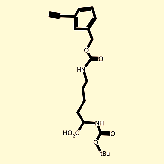 C#Cc1cccc(COC(=O)NCCCCC(NC(=O)OC(C)(C)C)C(=O)O)c1